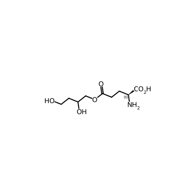 N[C@@H](CCC(=O)OCC(O)CCO)C(=O)O